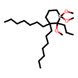 CCCCCCCC1(CCCCCCC)CCC[Si](OC)(OC)C1(CCC)OC